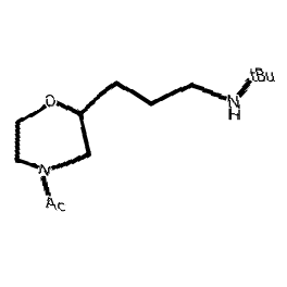 CC(=O)N1CCOC(CCCNC(C)(C)C)C1